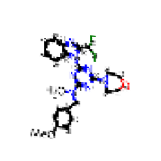 COc1ccc(CN(C)c2nc(N3CCOCC3)nc(-n3c(C(F)F)nc4ccccc43)n2)cc1